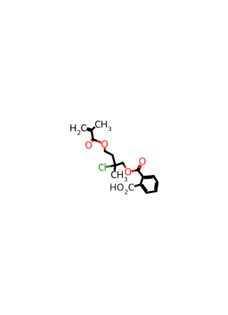 C=C(C)C(=O)OCCC(C)(Cl)COC(=O)c1ccccc1C(=O)O